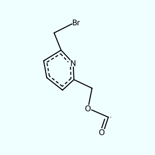 O=[C]OCc1cccc(CBr)n1